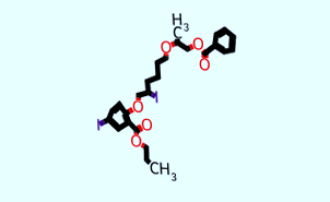 CCCOC(=O)c1cc(I)ccc1OCC(I)CCCCOC(C)COC(=O)c1ccccc1